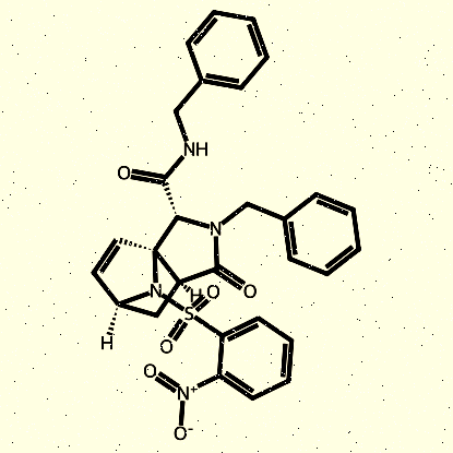 O=C(NCc1ccccc1)[C@@H]1N(Cc2ccccc2)C(=O)[C@H]2C[C@H]3C=C[C@@]21N3S(=O)(=O)c1ccccc1[N+](=O)[O-]